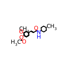 COc1cc(C=CC(=O)N[C@H]2CC[C@@H](C)CC2)ccc1OC(C)=O